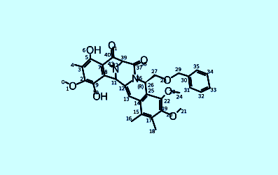 COc1c(C)c(O)c2c(c1O)C1C3=Cc4c(C)c(C)c(OC)c(OC)c4[C@H](COCc4ccccc4)N3C(=O)C(C2=O)N1C